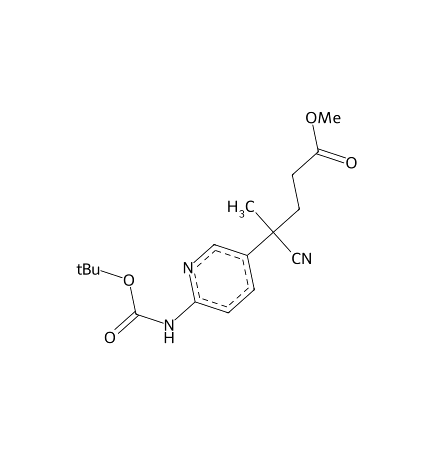 COC(=O)CCC(C)(C#N)c1ccc(NC(=O)OC(C)(C)C)nc1